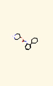 O=C(Nc1ccccc1C1CCCCC1)OC1CCNCC1